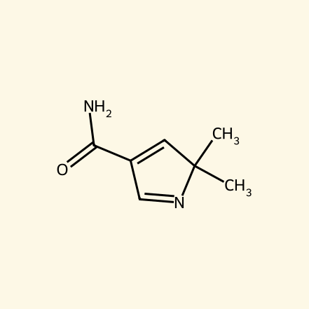 CC1(C)C=C(C(N)=O)C=N1